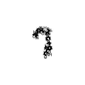 Cn1nc(C2CCC(=O)NC2=O)c2cccc(N3CC(N4CCC(n5cc(NC(=O)c6cnn7ccc(N8C[C@H]9C[C@@H]8CO9)nc67)c(C(F)F)n5)CC4)C3)c21